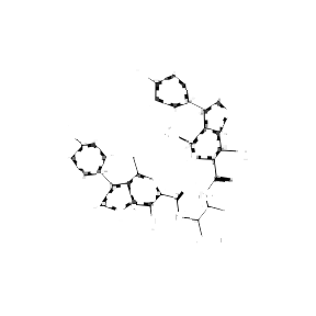 Cc1nc(C(=O)NC(C(=O)O)C(NC(=O)c2nc(C#N)c3c(-c4ccc(F)cc4)csc3c2O)C(=O)O)c(O)c2scc(-c3ccc(F)cc3)c12